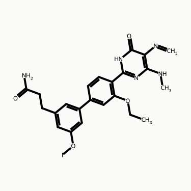 C=Nc1c(NC)nc(-c2ccc(-c3cc(CCC(N)=O)cc(OI)c3)cc2OCC)[nH]c1=O